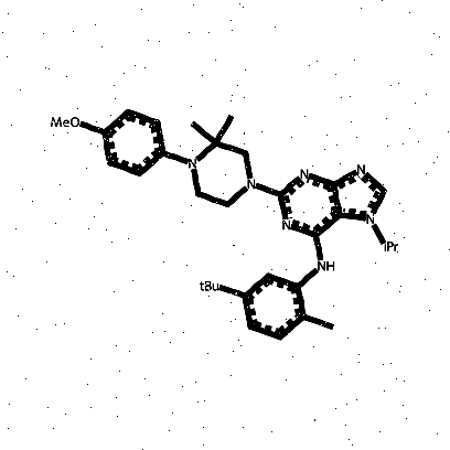 COc1ccc(N2CCN(c3nc(Nc4cc(C(C)(C)C)ccc4C)c4c(ncn4C(C)C)n3)CC2(C)C)cc1